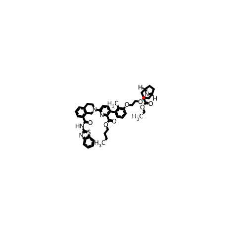 CCCCOC(=O)c1nc(N2CCc3cccc(C(=O)Nc4nc5ccccc5s4)c3C2)ccc1-c1cccc(OCCO[C@@H]2C[C@H]3CC[C@@H](C2)N3CC(=O)OCC)c1C